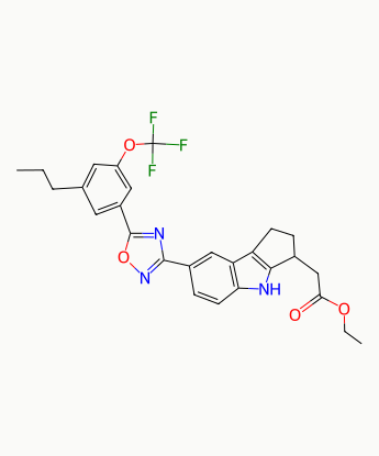 CCCc1cc(OC(F)(F)F)cc(-c2nc(-c3ccc4[nH]c5c(c4c3)CCC5CC(=O)OCC)no2)c1